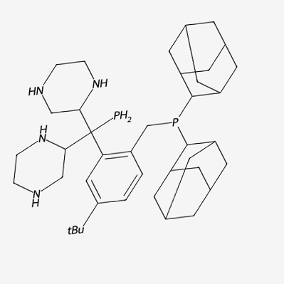 CC(C)(C)c1ccc(CP(C2C3CC4CC(C3)CC2C4)C2C3CC4CC(C3)CC2C4)c(C(P)(C2CNCCN2)C2CNCCN2)c1